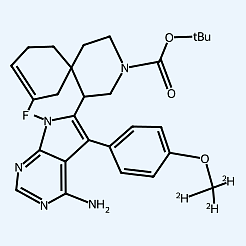 [2H]C([2H])([2H])Oc1ccc(-c2c(C3CN(C(=O)OC(C)(C)C)CCC34CCC=C(F)C4)n(C)c3ncnc(N)c23)cc1